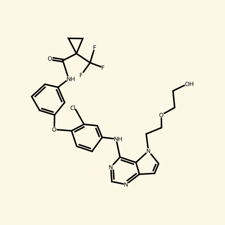 O=C(Nc1cccc(Oc2ccc(Nc3ncnc4ccn(CCOCCO)c34)cc2Cl)c1)C1(C(F)(F)F)CC1